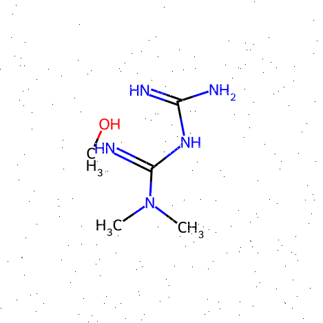 CN(C)C(=N)NC(=N)N.CO